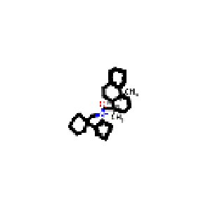 C[C@@]1(C(=O)NCC2(c3ccccc3)CCCCC2)CCC[C@]2(C)c3ccccc3CC[C@@H]12